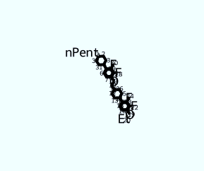 CCCCCC1CCC(c2ccc(OCC3CCC(c4ccc(OCC)c(F)c4F)CC3)c(F)c2F)CC1